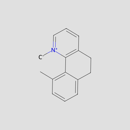 [CH2-][n+]1cccc2c1-c1c(C)cccc1CC2